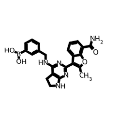 Cc1oc2c(C(N)=O)cccc2c1-c1nc2c(c(NCc3cccc(B(O)O)c3)n1)CCN2